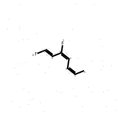 C\C=C/C=C(F)\C=C\F